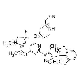 Cc1c(-c2nc(O[C@H]3CCN[C@H](CC#N)C3)cc(O[C@@H](C)[C@@H]3C[C@@H](F)CN3C)n2)noc1C(C)(C)c1c(F)cccc1F